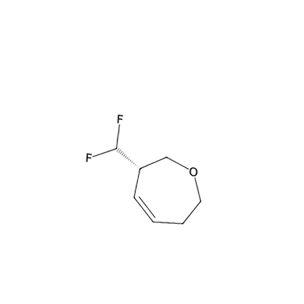 FC(F)[C@H]1C=CCCOC1